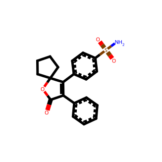 NS(=O)(=O)c1ccc(C2=C(c3ccccc3)C(=O)OC23CCCC3)cc1